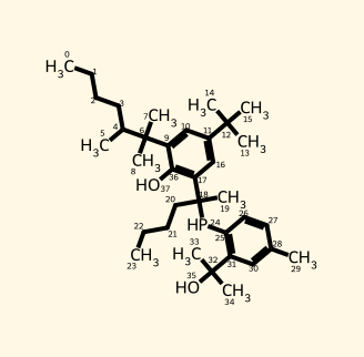 CCCCC(C)C(C)(C)c1cc(C(C)(C)C)cc(C(C)(CCCC)Pc2ccc(C)cc2C(C)(C)O)c1O